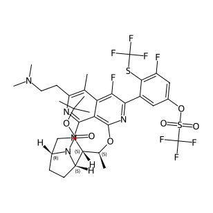 Cc1c(CCN(C)C)nc2c3c(nc(-c4cc(OS(=O)(=O)C(F)(F)F)cc(F)c4SC(F)(F)F)c(F)c13)O[C@@H](C)[C@@H]1[C@@H]3CC[C@H](CN21)N3C(=O)OC(C)(C)C